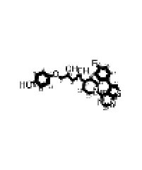 CN(CC(O)COc1ccc(O)cc1)C1CCN(c2ncnc3scc(-c4ccc(F)cc4)c23)CC1